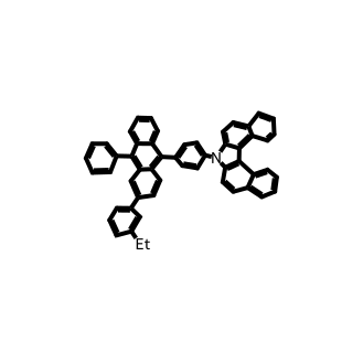 CCc1cccc(-c2ccc3c(-c4ccc(-n5c6ccc7ccccc7c6c6c7ccccc7ccc65)cc4)c4ccccc4c(-c4ccccc4)c3c2)c1